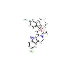 CN1CCc2c([nH]c3ccc(Cl)cc23)C1CC(O)(c1ccc(F)cc1)C1CCCCC1